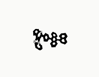 c1ccc2c(-c3c4ccccc4c(-c4ccc(-c5nc6ccccc6c6nc7ccccn7c56)cc4)c4ccccc34)cccc2c1